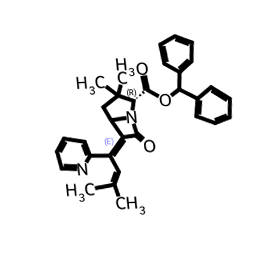 CC(C)=C/C(=C1\C(=O)N2C1CC(C)(C)[C@@H]2C(=O)OC(c1ccccc1)c1ccccc1)c1ccccn1